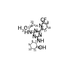 C[C@@H](Nc1nc(N[C@H]2CCCC[C@H]2O)nc(-c2cccc(C(F)(F)F)n2)n1)C1CC1